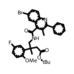 COc1ccc(F)cc1C(C)(CNC(=O)c1c(C)c(-c2ccccc2)nc2ccc(Br)cc12)CC(=O)OC(C)(C)C